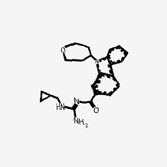 N/C(=N\C(=O)c1ccc2c3ccccc3n(C3CCOCC3)c2c1)NCC1CC1